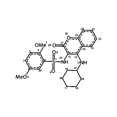 COc1ccc(OC)c(S(=O)(=O)Nc2c(NC3CCCCC3)c3ccccc3oc2=O)c1